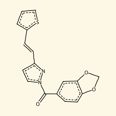 O=C(c1ccc2c(c1)OCO2)n1ccc(/C=C/c2cccs2)n1